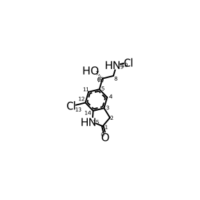 O=C1Cc2cc([C@H](O)CNCl)cc(Cl)c2N1